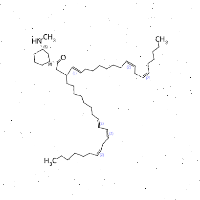 CCCCC/C=C\C/C=C\CCCCCC/C=C/C(CCCCCCC/C=C/C=C\C/C=C\CCCCCC)CC(=O)[C@@H]1CCC[C@H](NC)C1